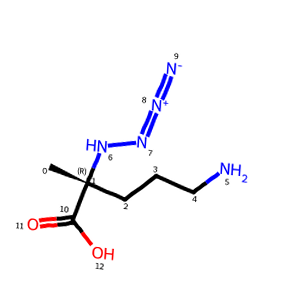 C[C@](CCCN)(NN=[N+]=[N-])C(=O)O